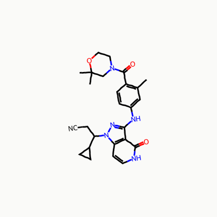 Cc1cc(Nc2nn(C(CC#N)C3CC3)c3cc[nH]c(=O)c23)ccc1C(=O)N1CCOC(C)(C)C1